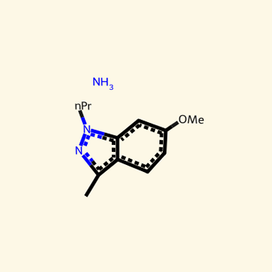 CCCn1nc(C)c2ccc(OC)cc21.N